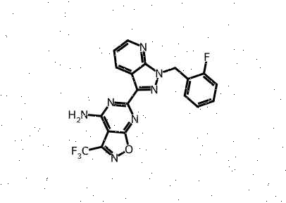 Nc1nc(-c2nn(Cc3ccccc3F)c3ncccc23)nc2onc(C(F)(F)F)c12